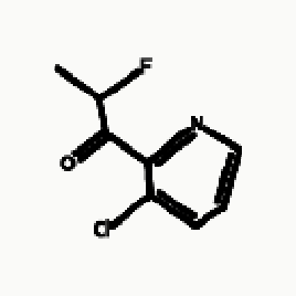 CC(F)C(=O)c1ncccc1Cl